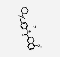 C[N+](C)(Cc1ccc(NC(=O)C2=Cc3cccc(C(F)(F)F)c3OC2)cc1)C1CCCCC1.[Cl-]